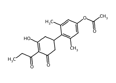 CCC(=O)C1=C(O)CC(c2c(C)cc(OC(C)=O)cc2C)CC1=O